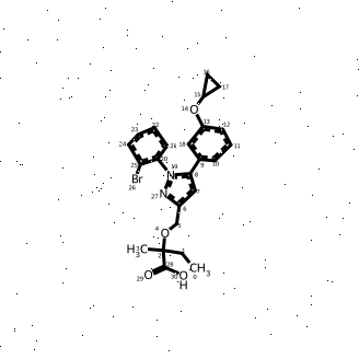 CCC(C)(OCc1cc(-c2cccc(OC3CC3)c2)n(-c2ccccc2Br)n1)C(=O)O